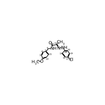 COc1ccc(CNC(=O)C(C)=NNc2ccc(Cl)cc2)cc1